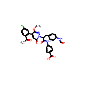 COc1nn(C(Cc2ccc(NC=O)cc2)C(=O)Nc2ccc(C(=O)O)cc2)c(=O)cc1-c1cc(Cl)ccc1C(C)=O